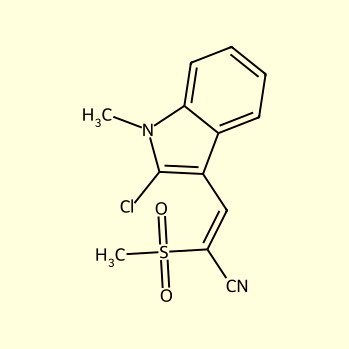 Cn1c(Cl)c(C=C(C#N)S(C)(=O)=O)c2ccccc21